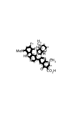 CNc1cc(F)c(F)c2c1[nH]c1ncc(-c3cnc4c(c3)c(=O)c(C(=O)O)cn4C)c(N3C[C@@H]4[C@@H](C3)OCCN4C)c12